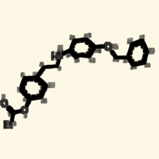 CCC(=O)Oc1ccc(CCNc2ccc(OCc3ccccc3)cc2)cc1